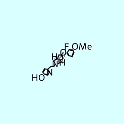 COc1cccc(O[C@H]2C[C@@H]3CN(CCc4ccc(O)cn4)C[C@@H]3C2)c1F